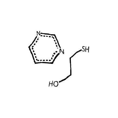 OCCS.c1cncnc1